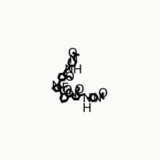 COc1cc(-c2nccc(-c3cccc(-c4ccc(CNC5CCN(C(C)=O)CC5)c(OC)n4)c3OC)c2F)ccc1CNC1CCN(C(C)=O)CC1